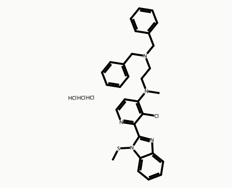 CSn1c(-c2nccc(N(C)CCN(Cc3ccccc3)Cc3ccccc3)c2Cl)nc2ccccc21.Cl.Cl.Cl